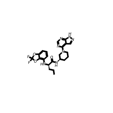 CCC[C@@H](Nc1cccc2c1OC(F)(F)O2)C(=O)N[C@@H]1CCCN(c2ncnc3[nH]ncc23)C1